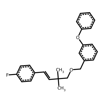 CC(C)(/C=C/c1ccc(F)cc1)COCc1cccc(Oc2ccccc2)c1